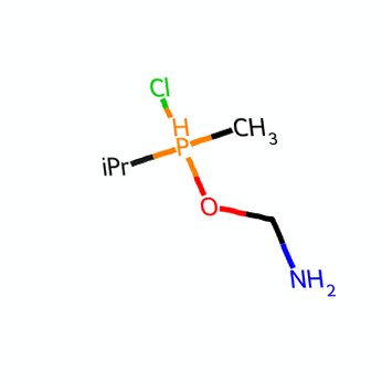 CC(C)[PH](C)(Cl)OCN